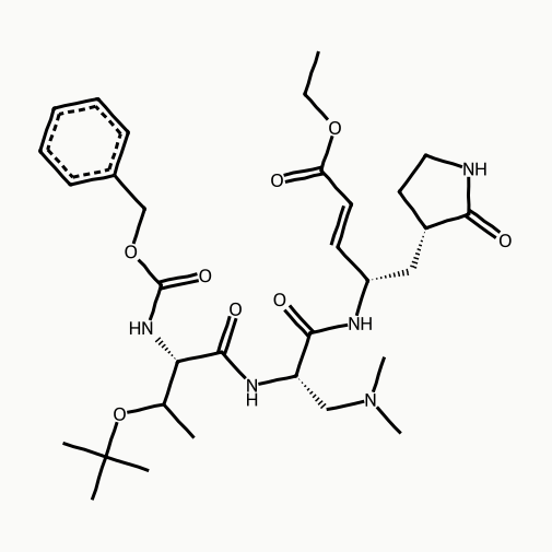 CCOC(=O)/C=C/[C@H](C[C@@H]1CCNC1=O)NC(=O)[C@H](CN(C)C)NC(=O)[C@@H](NC(=O)OCc1ccccc1)C(C)OC(C)(C)C